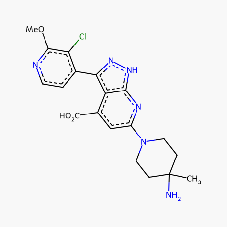 COc1nccc(-c2n[nH]c3nc(N4CCC(C)(N)CC4)cc(C(=O)O)c23)c1Cl